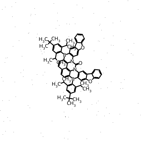 CC(C)c1cc(C(C)(C)C)cc(C(C)C)c1B1c2cc3c(cc2N2C(=O)N4c5cc6c(cc5B(c5c(C(C)C)cc(C(C)(C)C)cc5C(C)C)c5ccc7ccc1c2c7c54)oc1ccccc16)oc1ccccc13